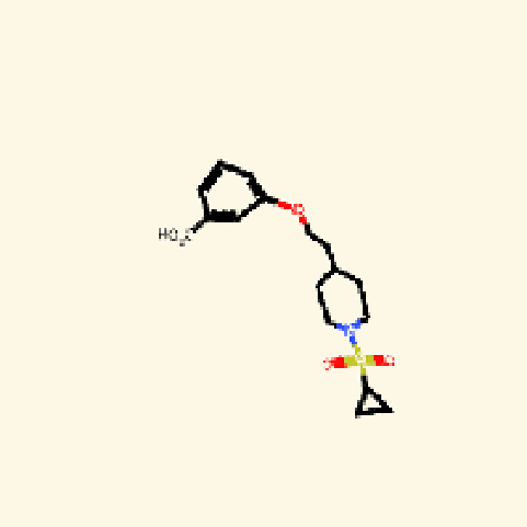 O=C(O)c1cccc(OCCC2CCN(S(=O)(=O)C3CC3)CC2)c1